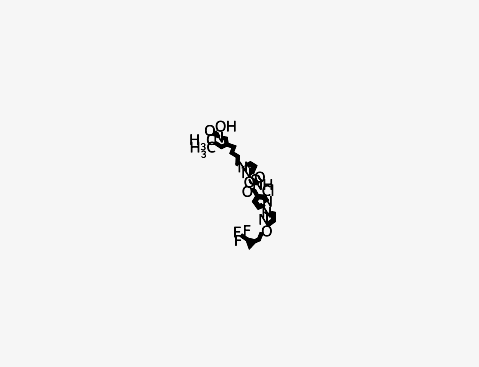 CC1(C)CC(CCCCn2ccc(S(=O)(=O)NC(=O)c3ccc(-n4ccc(OCCC5CC5C(F)(F)F)n4)nc3Cl)n2)CN1C(=O)O